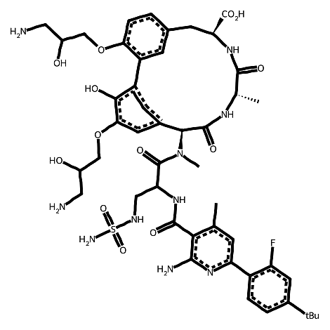 Cc1cc(-c2ccc(C(C)(C)C)cc2F)nc(N)c1C(=O)NC(CNS(N)(=O)=O)C(=O)N(C)[C@@H]1C(=O)N[C@@H](C)C(=O)N[C@H](C(=O)O)Cc2ccc(OCC(O)CN)c(c2)-c2cc1cc(OCC(O)CN)c2O